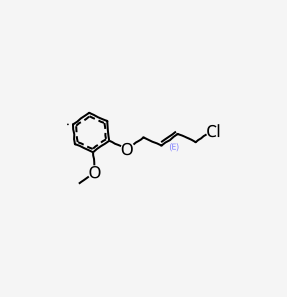 COc1c[c]ccc1OC/C=C/CCl